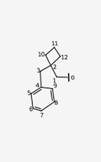 ICC1(Cc2ccccc2)CCC1